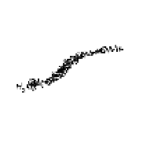 C=C(C)C(=O)OCCCCCCOc1ccc(C(=O)Oc2ccc(OC(=O)c3ccc4cc(OC(=O)c5ccc(OCCCCCCCCCOC)cc5)ccc4c3)c(CCC)c2)cc1